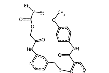 CCN(CC)C(=O)OCC(=O)Nc1cc(CSc2ncccc2C(=O)Nc2ccc(OC(F)(F)F)cc2)ccn1